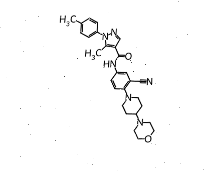 Cc1ccc(-n2ncc(C(=O)Nc3ccc(N4CCC(N5CCOCC5)CC4)c(C#N)c3)c2C)cc1